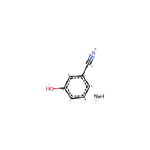 N#Cc1cccc(O)c1.[NaH]